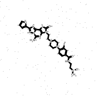 C[S+]([O-])CCNC(=O)c1ccc(N2CCN(CCn3c(=O)sc4c3nc(N)n3nc(-c5ccco5)nc43)CC2)c(F)c1